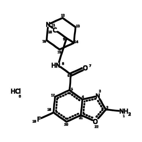 Cl.Nc1nc2c(C(=O)NC3CN4CCC3CC4)cc(F)cc2o1